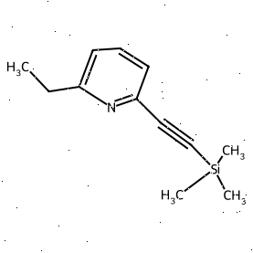 CCc1cccc(C#C[Si](C)(C)C)n1